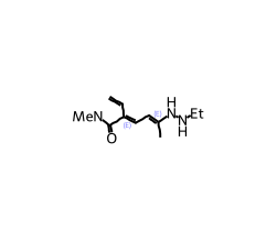 C=C/C(=C\C=C(/C)NNCC)C(=O)NC